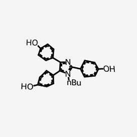 CCCCn1c(-c2ccc(O)cc2)nc(-c2ccc(O)cc2)c1-c1ccc(O)cc1